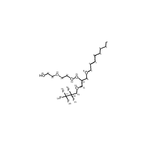 CCCCCCCCOCC(COCC(F)(F)C(F)(F)F)OOCCOCCO